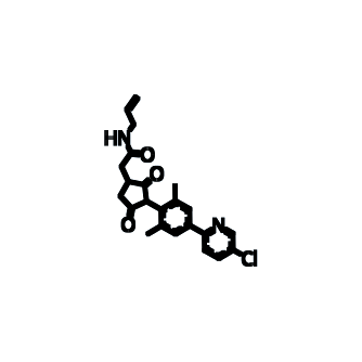 C=CCNC(=O)CC1CC(=O)C(c2c(C)cc(-c3ccc(Cl)cn3)cc2C)C1=O